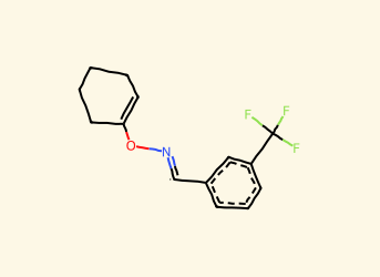 FC(F)(F)c1cccc([C]=NOC2=CCCCC2)c1